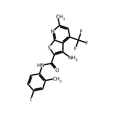 Cc1cc(C(F)(F)F)c2c(N)c(C(=O)Nc3ccc(I)cc3C)sc2n1